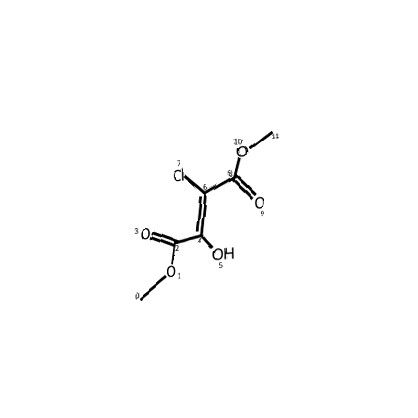 COC(=O)/C(O)=C(\Cl)C(=O)OC